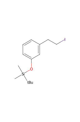 CC(C)(C)[Si](C)(C)Oc1cccc(CCI)c1